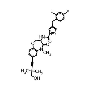 CN1C(=O)C(NC(=O)n2cc(Cc3ccc(F)cc3F)cn2)COc2ccc(C#CC(C)(C)CO)cc21